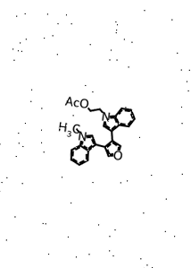 CC(=O)OCCn1cc(-c2cocc2-c2cn(C)c3ccccc23)c2ccccc21